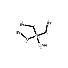 CO[Si](CC(C)C)(CC(C)C)OC(C)C